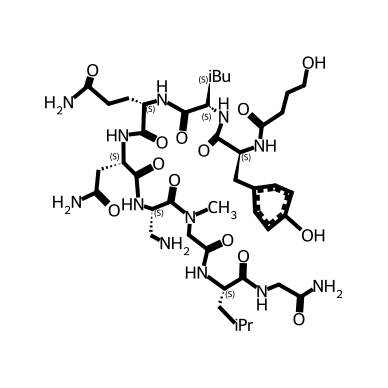 CC[C@H](C)[C@H](NC(=O)[C@H](Cc1ccc(O)cc1)NC(=O)CCCO)C(=O)N[C@@H](CCC(N)=O)C(=O)N[C@@H](CC(N)=O)C(=O)N[C@@H](CN)C(=O)N(C)CC(=O)N[C@@H](CC(C)C)C(=O)NCC(N)=O